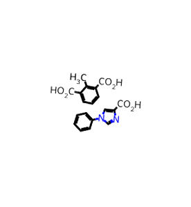 Cc1c(C(=O)O)cccc1C(=O)O.O=C(O)c1cn(-c2ccccc2)cn1